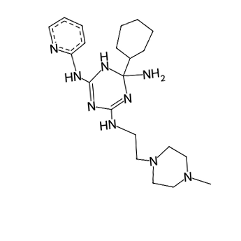 CN1CCN(CCNC2=NC(N)(C3CCCCC3)NC(Nc3ccccn3)=N2)CC1